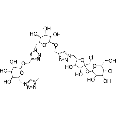 Cc1cn(C[C@H]2O[C@H](OCc3cn(C[C@H]4O[C@H](OCc5cn(C[C@H]6OC(CCl)(O[C@H]7O[C@H](CO)[C@H](Cl)[C@H](O)C7O)[C@@H](O)[C@@H]6O)nn5)[C@@H](O)[C@@H](O)[C@@H]4O)nn3)[C@@H](O)[C@@H](O)[C@@H]2O)nn1